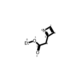 [CH2]COC(=O)CC1=NC=C1